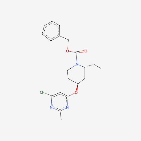 CC[C@@H]1C[C@@H](Oc2cc(Cl)nc(C)n2)CCN1C(=O)OCc1ccccc1